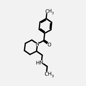 CCNCC1CCCCN1C(=O)c1ccc(C)cc1